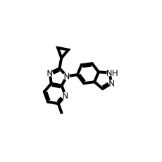 Cc1ccc2nc(C3CC3)n(C3=CC4C=NNC4C=C3)c2n1